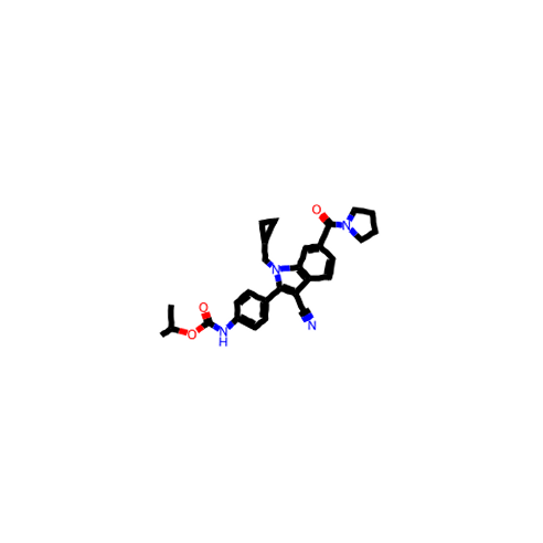 CC(C)OC(=O)Nc1ccc(-c2c(C#N)c3ccc(C(=O)N4CCCC4)cc3n2CC2CC2)cc1